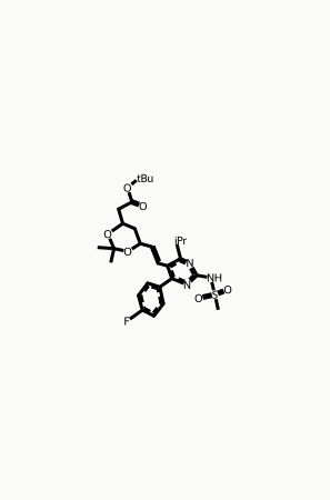 CC(C)c1nc(NS(C)(=O)=O)nc(-c2ccc(F)cc2)c1/C=C/C1CC(CC(=O)OC(C)(C)C)OC(C)(C)O1